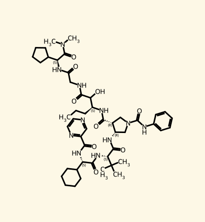 CCC[C@H](NC(=O)[C@@H]1CN(C(=O)Nc2ccccc2)C[C@@H]1NC(=O)[C@@H](NC(=O)[C@@H](NC(=O)c1cnccn1)C1CCCCC1)C(C)(C)C)C(O)C(=O)NCC(=O)N[C@H](C(=O)N(C)C)C1CCCC1